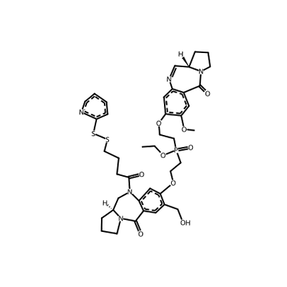 CCOP(=O)(CCOc1cc2c(cc1CO)C(=O)N1CCC[C@H]1CN2C(=O)CCCSSc1ccccn1)CCOc1cc2c(cc1OC)C(=O)N1CCC[C@H]1C=N2